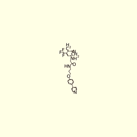 C=C(/C=C(\C(=C)C#N)C(F)(F)F)NCC(=O)NCCCOc1ccc(-c2ccncc2)cc1